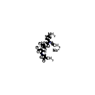 CO/N=C(\C(=O)N[C@@H]1C(=O)N2C(C(=O)[O-])=C(/C=C3\C=C(C)C(=O)O3)CS[C@@H]12)c1csc(N)n1.[Na+]